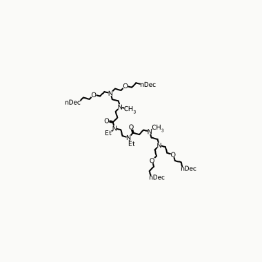 CCCCCCCCCCCCOCCN(CCOCCCCCCCCCCCC)CCN(C)CCC(=O)N(CC)CCN(CC)C(=O)CCN(C)CCN(CCOCCCCCCCCCCCC)CCOCCCCCCCCCCCC